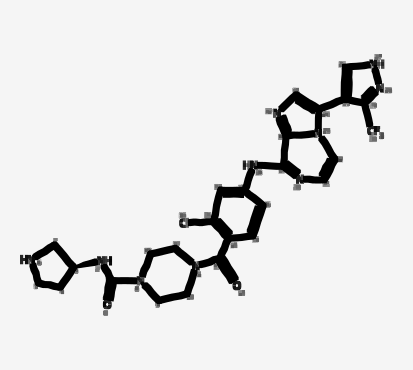 O=C(N[C@H]1CCNC1)N1CCN(C(=O)c2ccc(Nc3nccn4c(-c5c[nH]nc5C(F)(F)F)cnc34)cc2Cl)CC1